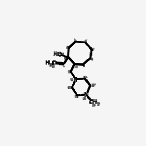 C=CC1(O)CCCCCCC1CN1CCN(C)CC1